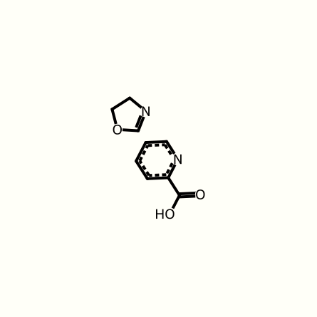 C1=NCCO1.O=C(O)c1ccccn1